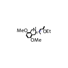 C=C(/C=C(\C)[C@@H]1Cc2c(OC)ccc(OC)c2CN1C)OCC